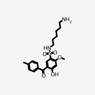 COc1cc(O)c(C(=O)c2ccc(C)cc2)cc1S(=O)(=O)NCCCCCCN